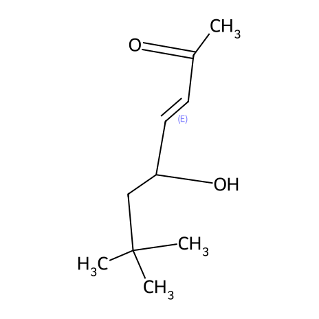 CC(=O)/C=C/C(O)CC(C)(C)C